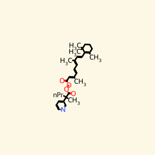 CCCC(C)(C(=O)OOC(=O)C=C(C)C=CC=C(C)C=CC1=C(C)CCCC1(C)C)c1cccnc1